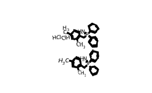 Cc1ccc(CP(=N)(c2ccccc2)c2ccccc2)c(C)c1.Cc1ccc(CP(=N)(c2ccccc2)c2ccccc2)c(C)c1.Cl.Cl